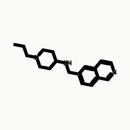 CCCN1CCC(NCc2ccc3cnccc3c2)CC1